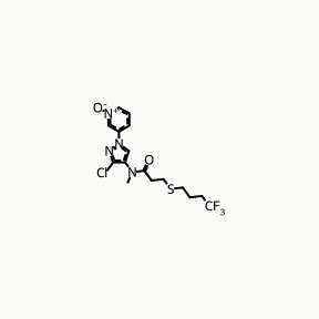 CN(C(=O)CCSCCCC(F)(F)F)c1cn(-c2ccc[n+]([O-])c2)nc1Cl